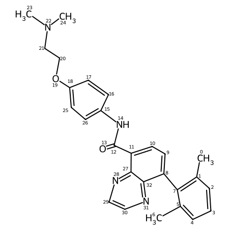 Cc1cccc(C)c1-c1ccc(C(=O)Nc2ccc(OCCN(C)C)cc2)c2nccnc12